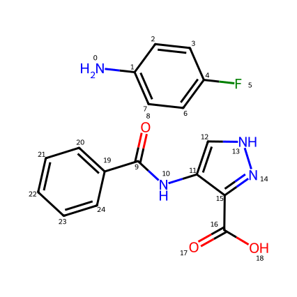 Nc1ccc(F)cc1.O=C(Nc1c[nH]nc1C(=O)O)c1ccccc1